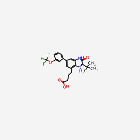 CC(C)(C)c1nc2c(CCCC(=O)O)cc(-c3cccc(OC(F)(F)F)c3)cc2[nH]c1=O